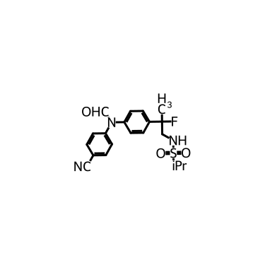 CC(C)S(=O)(=O)NCC(C)(F)c1ccc(N(C=O)c2ccc(C#N)cc2)cc1